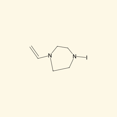 C=CN1CCN(I)CC1